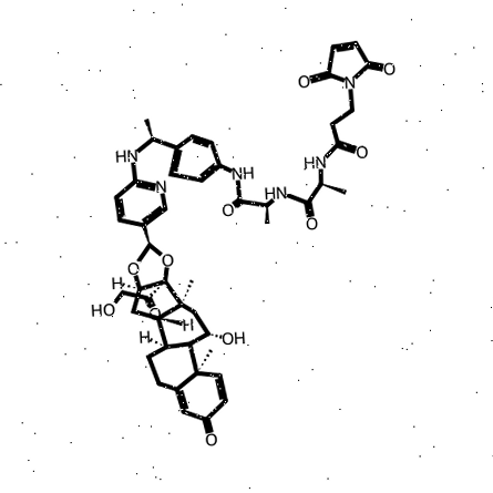 C[C@H](NC(=O)CCN1C(=O)C=CC1=O)C(=O)N[C@@H](C)C(=O)Nc1ccc([C@H](C)Nc2ccc([C@@H]3O[C@@H]4C[C@H]5[C@@H]6CCC7=CC(=O)C=C[C@]7(C)C6[C@@H](O)C[C@]5(C)[C@]4(C(=O)CO)O3)cn2)cc1